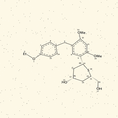 CCOc1ccc(Cc2cc([C@H]3C[C@@H](O)C[C@@H](CO)S3)c(OC)cc2OC)cc1